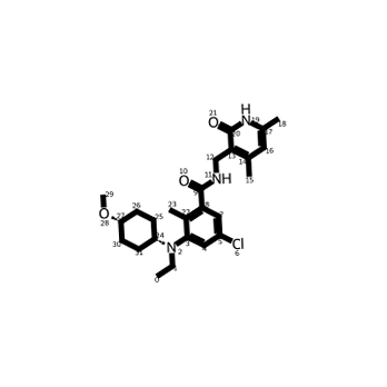 CCN(c1cc(Cl)cc(C(=O)NCc2c(C)cc(C)[nH]c2=O)c1C)[C@H]1CC[C@@H](OC)CC1